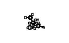 C[C@@]12C(O)N(c3cc(Cl)cc(Cl)c3)C(=O)[C@@H]1[C@]2(C(=O)N1CCOCC1)c1ccc(C#N)cc1